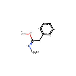 CCOC(=O)/N=C(\Cc1ccccc1)OCC